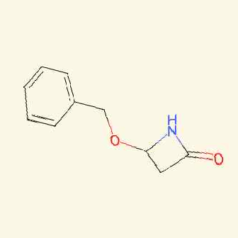 O=C1CC(OCc2ccccc2)N1